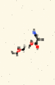 C=C(C#N)C(=O)OCCCOCC